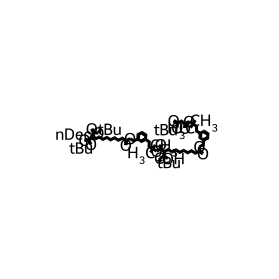 CCCCCCCCCCC(CCCCCCCCC(=O)OCc1cccc(CCC(C)(C)OC(=O)C(CCCCCCCCC(=O)OCc2cccc(CCC(C)(C)OC(=O)CC(=O)OC(C)(C)C)c2)C(O)OC(C)(C)C)c1)(C(=O)OC(C)(C)C)C(=O)OC(C)(C)C